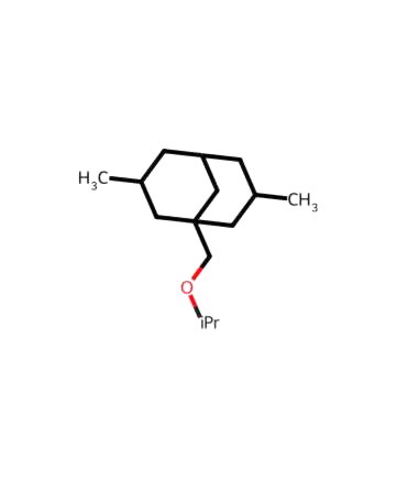 CC1CC2CC(C)CC(COC(C)C)(C1)C2